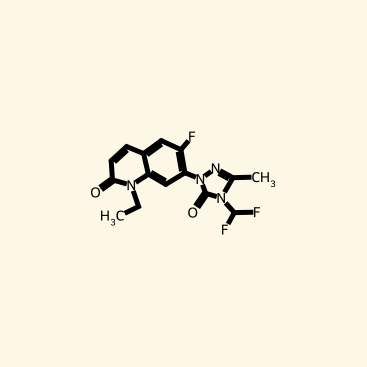 CCn1c(=O)ccc2cc(F)c(-n3nc(C)n(C(F)F)c3=O)cc21